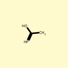 CC(O)=P